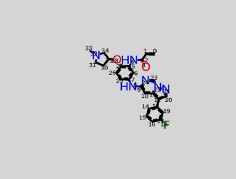 C=CC(=O)Nc1cc(Nc2cc3c(-c4cccc(F)c4)cnn3cn2)ccc1OC1CCN(C)C1